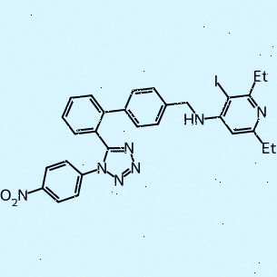 CCc1cc(NCc2ccc(-c3ccccc3-c3nnnn3-c3ccc([N+](=O)[O-])cc3)cc2)c(I)c(CC)n1